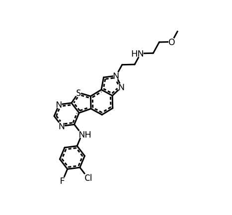 COCCNCCn1cc2c(ccc3c2sc2ncnc(Nc4ccc(F)c(Cl)c4)c23)n1